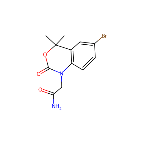 CC1(C)OC(=O)N(CC(N)=O)c2ccc(Br)cc21